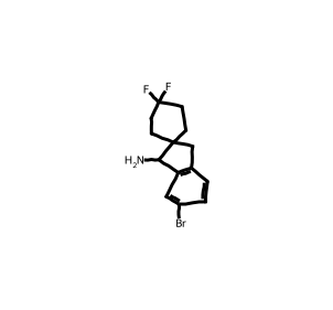 NC1c2cc(Br)ccc2CC12CCC(F)(F)CC2